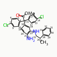 COC(=O)C(c1ccc(Cl)cc1)(c1ccc(Cl)cc1)c1ccc(N)c(NC[C@@H](C)c2ccccc2)c1